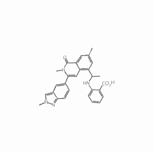 Cc1cc(C(C)Nc2ccccc2C(=O)O)c2cc(-c3ccc4nn(C)cc4c3)n(C)c(=O)c2c1